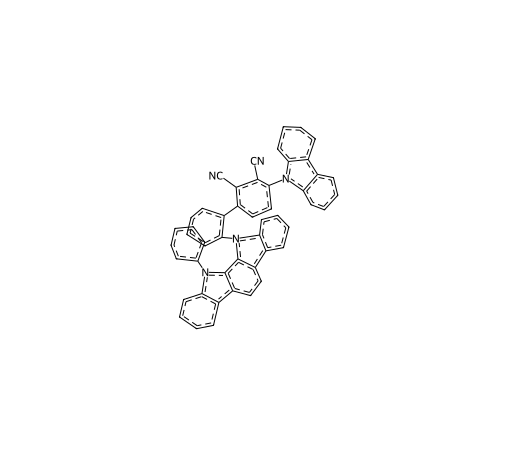 N#Cc1c(-c2ccccc2-n2c3ccccc3c3ccc4c5ccccc5n(-c5ccccc5)c4c32)ccc(-n2c3ccccc3c3ccccc32)c1C#N